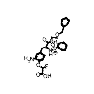 Nc1cc(C[C@H](NS(=O)(=O)c2ccccc2)C(=O)NCCOCc2ccccc2)ccc1OC(F)C(=O)O